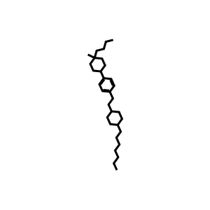 CCCCCCCC1CCC(CCc2ccc(C3CCC(C)(CCCC)CC3)cc2)CC1